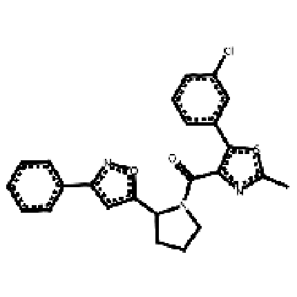 Cc1nc(C(=O)N2CCCC2c2cc(-c3ccccc3)no2)c(-c2cccc(Cl)c2)s1